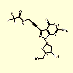 Nc1nc2c(c(C#CCNC(=O)C(F)(F)F)nn2[C@H]2CC(O)[C@@H](CO)O2)c(=O)[nH]1